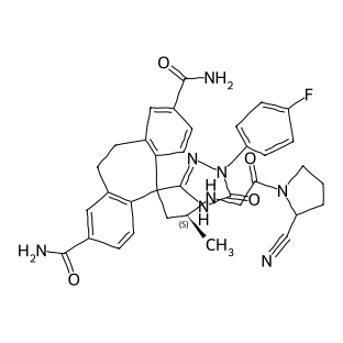 C[C@@H](CC1(c2nn(-c3ccc(F)cc3)c(=O)[nH]2)c2ccc(C(N)=O)cc2CCc2cc(C(N)=O)ccc21)NCC(=O)N1CCCC1C#N